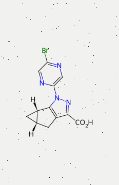 O=C(O)c1nn(-c2cnc(Br)cn2)c2c1C[C@@H]1C[C@H]21